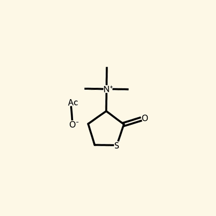 CC(=O)[O-].C[N+](C)(C)C1CCSC1=O